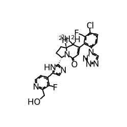 [2H]C1([2H])C(c2c(-n3cnnn3)ccc(Cl)c2F)=CC(=O)N2[C@H](c3ncc(-c4ccnc(CO)c4F)[nH]3)CC[C@@]21[2H]